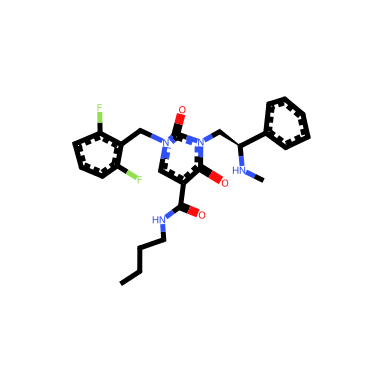 CCCCNC(=O)c1cn(Cc2c(F)cccc2F)c(=O)n(C[C@H](NC)c2ccccc2)c1=O